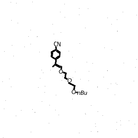 CCCCOCCOCCOC=C(C)c1ccc(C#N)cc1